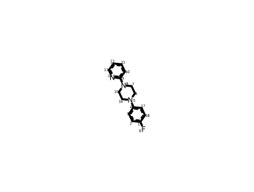 Fc1ccc(N2CCN(c3cc[c]cn3)CC2)cc1